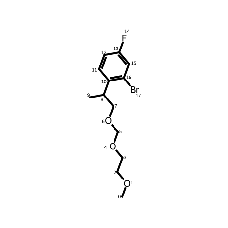 COCCOCOCC(C)c1ccc(F)cc1Br